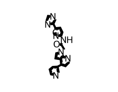 O=C(Cn1ccc2c(-c3cccnc3)ccnc21)Nc1ccc(-c2cnccn2)cn1